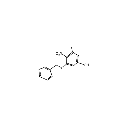 Cc1cc(O)cc(OCc2ccccc2)c1[N+](=O)[O-]